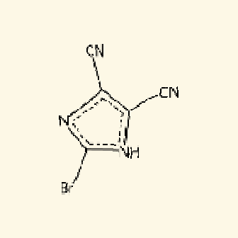 N#Cc1nc(Br)[nH]c1C#N